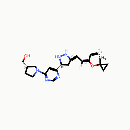 C=C/C(OC1(C)CC1)=C(F)\C=C1/C[C@H](c2cc(N3CC[C@H](CO)C3)ncn2)NN1